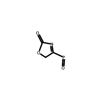 O=PC1=NC(=O)OC1